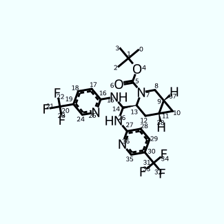 CC(C)(C)OC(=O)N1C[C@@H]2C[C@@H]2C[C@H]1C(Nc1ccc(C(F)(F)F)cn1)Nc1ccc(C(F)(F)F)cn1